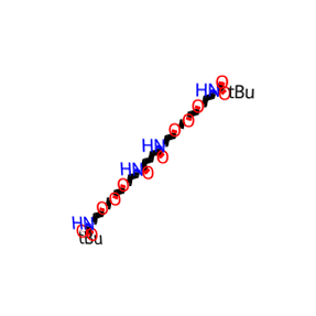 CC(C)(C)OC(=O)NCCCOCCOCCOCCCNC(=O)CCCC(=O)NCCCOCCOCCOCCCNC(=O)OC(C)(C)C